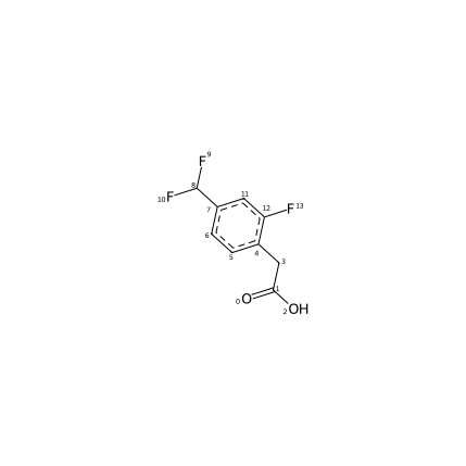 O=C(O)Cc1ccc(C(F)F)cc1F